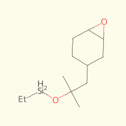 CC[SiH2]OC(C)(C)CC1CCC2OC2C1